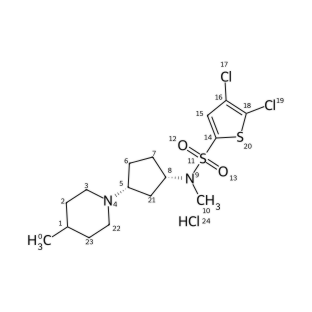 CC1CCN([C@@H]2CC[C@H](N(C)S(=O)(=O)c3cc(Cl)c(Cl)s3)C2)CC1.Cl